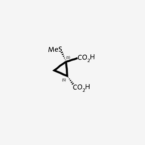 CS[C@@]1(C(=O)O)C[C@H]1C(=O)O